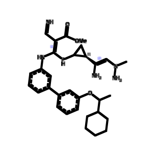 COC(=O)/C(C=N)=C(/Nc1cccc(-c2cccc(OC(C)C3CCCCC3)c2)c1)PC1C[C@H]1/C(N)=C/N(C)N